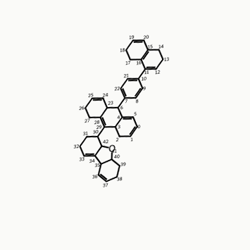 C1=CCC2C(=C1)C(c1ccc(C3=CCCC4=C3CCC=C4)cc1)C1C=CCCC1=C2C1CCC=C2C3C=CCCC3OC21